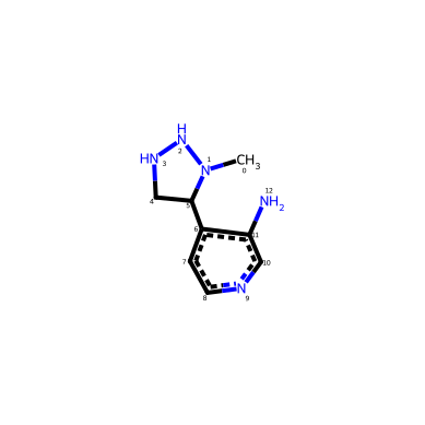 CN1NNCC1c1ccncc1N